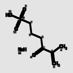 C=C(C)C(=O)CCCS(=O)(=O)O.[NaH]